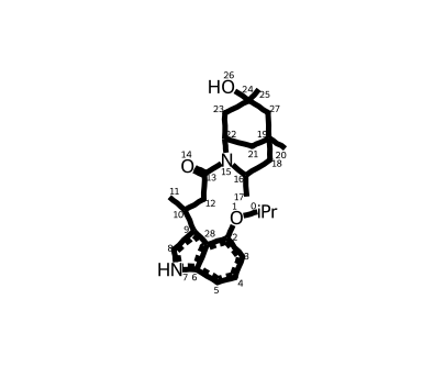 CC(C)Oc1cccc2[nH]cc(C(C)CC(=O)N3C(C)CC4(C)CC3CC(C)(O)C4)c12